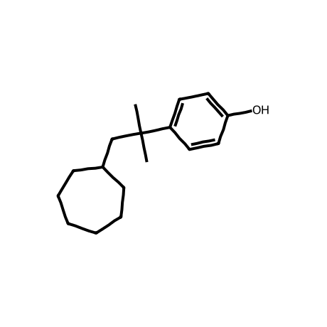 CC(C)(CC1CCCCCC1)c1ccc(O)cc1